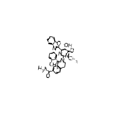 Cc1ccccc1[C@H]1c2cc(C(N)=O)ccc2CCN1c1nc(-c2nc3ccccc3o2)c(O)c(=O)n1C